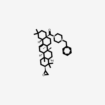 CC1(C)CC[C@]2(C(=O)N3CCN(Cc4ccccc4)CC3)CC[C@]3(C)C(=CC[C@@H]4C5(C)CC[C@H](C6CO6)C(C)(C)[C@@H]5CC[C@]43C)[C@@H]2C1